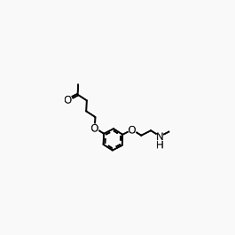 CNCCOc1cccc(OCCCC(C)=O)c1